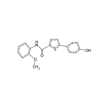 COc1ccccc1NC(=O)c1ccc(-c2ccc(O)cc2)s1